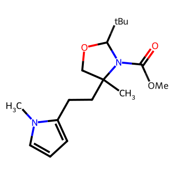 COC(=O)N1C(C(C)(C)C)OCC1(C)CCc1cccn1C